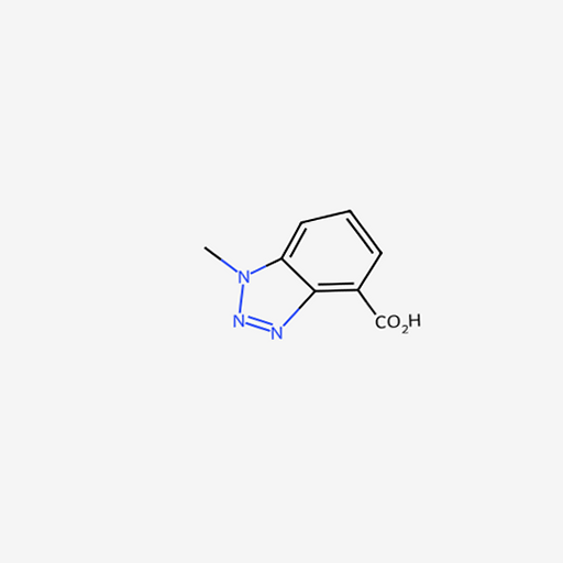 Cn1nnc2c(C(=O)O)cccc21